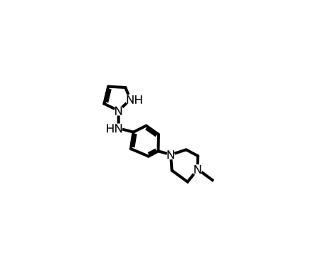 CN1CCN(c2ccc(NN3C=CCN3)cc2)CC1